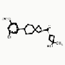 CCc1cc(OC)cc(C2CCC3(CC2)CN(C(=O)[C@H]2C[C@@](C)(O)C2)C3)c1